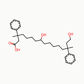 CC(CCO)(CCCCCC(O)CCCCC(C)(CC(=O)O)c1ccccc1)c1ccccc1